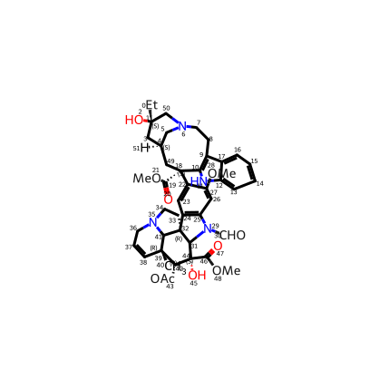 CC[C@]1(O)C[C@H]2CN(CCc3c([nH]c4ccccc34)[C@@](C(=O)OC)(c3cc4c(cc3OC)N(C=O)C3[C@]45CCN4CC=C[C@](C)(C45)[C@@H](OC(C)=O)[C@]3(O)C(=O)OC)C2)C1